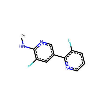 CC(C)Nc1ncc(-c2nc[c]cc2F)cc1F